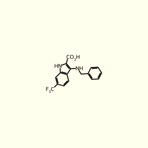 O=C(O)c1[nH]c2cc(C(F)(F)F)ccc2c1NCc1ccccc1